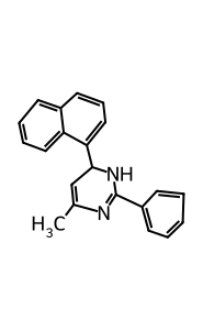 CC1=CC(c2cccc3ccccc23)NC(c2ccccc2)=N1